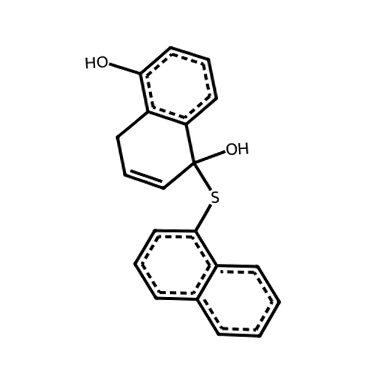 Oc1cccc2c1CC=CC2(O)Sc1cccc2ccccc12